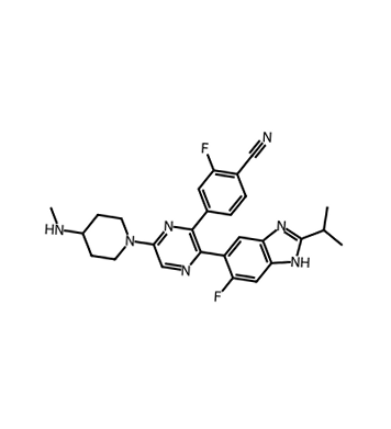 CNC1CCN(c2cnc(-c3cc4nc(C(C)C)[nH]c4cc3F)c(-c3ccc(C#N)c(F)c3)n2)CC1